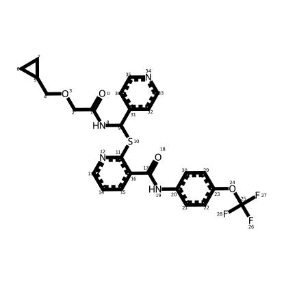 O=C(COCC1CC1)NC(Sc1ncccc1C(=O)Nc1ccc(OC(F)(F)F)cc1)c1ccncc1